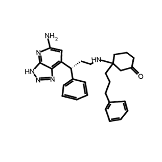 Nc1cc([C@H](CCNC2(CCCc3ccccc3)CCCC(=O)C2)c2ccccc2)c2nn[nH]c2n1